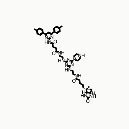 Cc1ccc(-c2cc(-c3ccc(C)cc3)nc(NC(=O)CCC(=O)NCCNc3nc(NCCNC(=O)CCCC[C@@H]4SC[C@@H]5NC(=O)N[C@@H]54)nc(N4CCNCC4)n3)n2)cc1